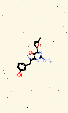 Cc1ccc(-c2nc(N)nc3c(Cc4cccc(O)c4)noc23)o1